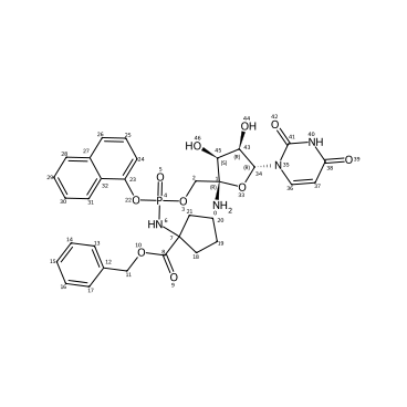 N[C@]1(COP(=O)(NC2(C(=O)OCc3ccccc3)CCCC2)Oc2cccc3ccccc23)O[C@@H](n2ccc(=O)[nH]c2=O)[C@H](O)[C@@H]1O